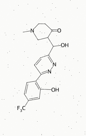 CN1CCC(=O)C(C(O)c2ccc(-c3ccc(C(F)(F)F)cc3O)nn2)C1